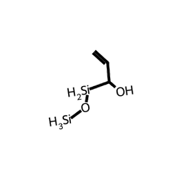 C=CC(O)[SiH2]O[SiH3]